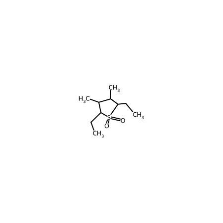 CCC1C(C)C(C)C(CC)S1(=O)=O